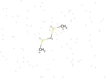 CS[C]SC